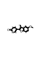 COc1ccc2oc(-c3ccc(Cl)nc3)c(C)c2c1